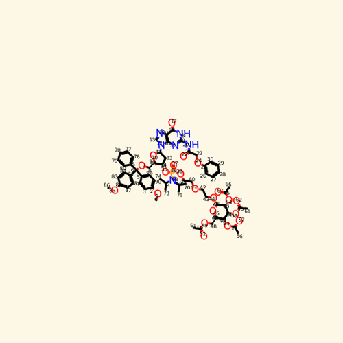 COc1ccc(C(OC[C@H]2O[C@@H](n3cnc4c(=O)[nH]c(NC(=O)COc5ccccc5)nc43)C[C@@H]2OP(=O)(OCCOCCO[C@@H]2O[C@H](COC(C)=O)[C@H](OC(C)=O)[C@H](OC(C)=O)[C@H]2OC(C)=O)N(C(C)C)C(C)C)(c2ccccc2)c2ccc(OC)cc2)cc1